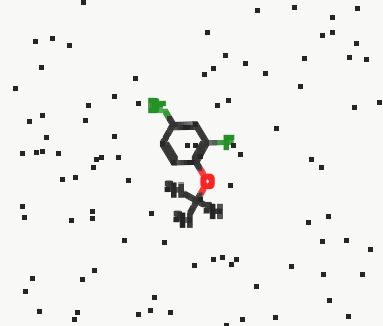 [2H]C([2H])([2H])Oc1ccc(Br)cc1F